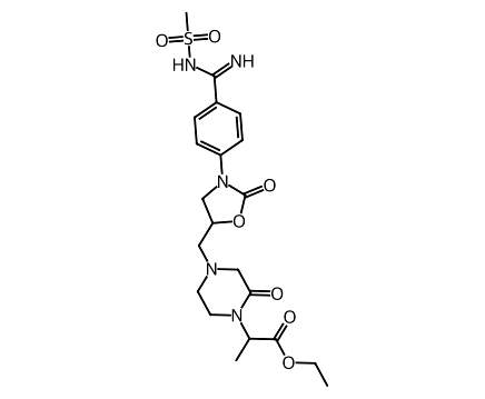 CCOC(=O)C(C)N1CCN(CC2CN(c3ccc(C(=N)NS(C)(=O)=O)cc3)C(=O)O2)CC1=O